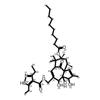 CCCCCCCCCC(=O)O[C@]1(C)C[C@@H](C)C23C=C(C)C(O)C2(O)C(O)C(COC(=O)C2=C(CC)BN=C2CC)=CC(C3=O)C1(C)C